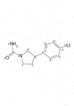 NC(=O)N1CC[C](c2ccc(Cl)cc2)C1